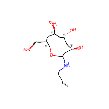 CCNC1O[C@H](CO)[C@@H](O)[C@H](O)[C@H]1O